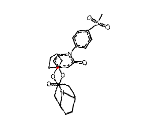 CS(=O)(=O)c1ccc(-n2ccc(OC3CC4CCC(C3)N4C(=O)OC3CCCC3)cc2=O)cc1